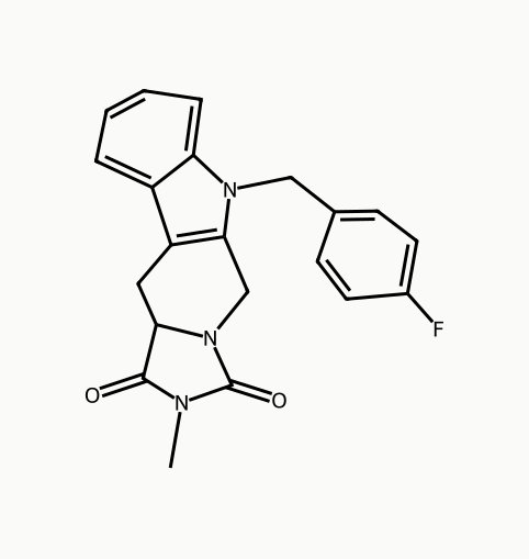 CN1C(=O)C2Cc3c(n(Cc4ccc(F)cc4)c4ccccc34)CN2C1=O